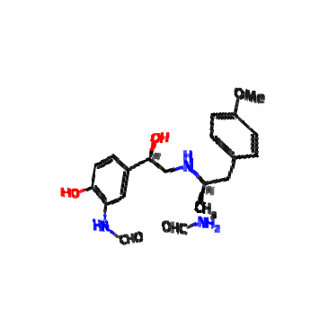 COc1ccc(C[C@@H](C)NC[C@H](O)c2ccc(O)c(NC=O)c2)cc1.NC=O